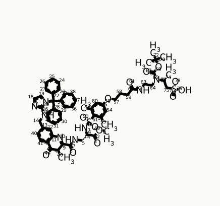 COC(=O)[C@H](CNC(=O)C1=Nc2cc(CNc3nccn3C(c3ccccc3)(c3ccccc3)c3ccccc3)ccc2C(=O)C1C)NS(=O)(=O)c1c(C)cc(OCCCC(=O)NCCN(C(=O)OC(C)(C)C)[C@H](C)CS(=O)(=O)O)cc1C